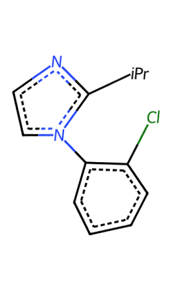 CC(C)c1nccn1-c1ccccc1Cl